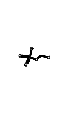 O=S(=O)(Br)OCCl